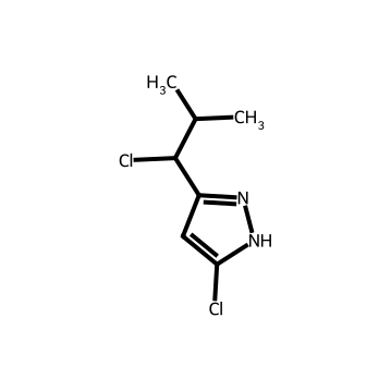 CC(C)C(Cl)c1cc(Cl)[nH]n1